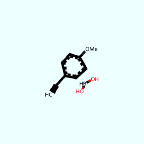 C#Cc1ccc(OC)cc1.OBO